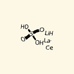 O=S(=O)(O)O.[Ce].[La].[LiH]